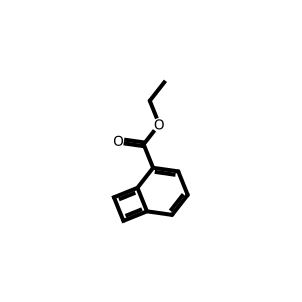 CCOC(=O)c1cccc2c1=CC=2